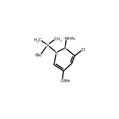 COC1=CN([Si](C)(C)C(C)(C)C)B(NC(C)=O)C(Cl)=C1